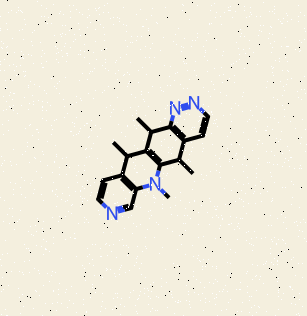 CC1C2=C(C(C)c3ccnnc3C2C)N(C)c2cnccc21